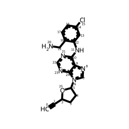 C#CC1CCC(n2cnc3c(Nc4cc(Cl)ccc4CN)ncnc32)O1